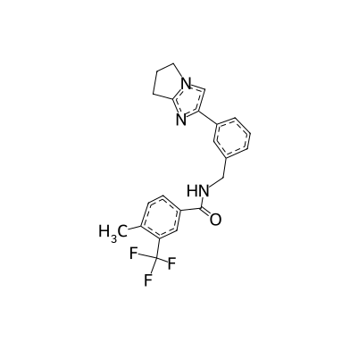 Cc1ccc(C(=O)NCc2cccc(-c3cn4c(n3)CCC4)c2)cc1C(F)(F)F